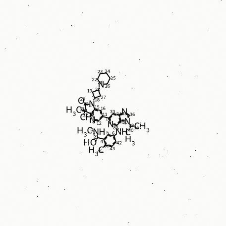 CNC(O)c1cc(Nc2nc(-c3cnc4c(c3)N([C@H]3C[C@@H](N5CCCCC5)C3)C(=O)C4(C)C)cc3ncn(C(C)C)c23)ccc1C